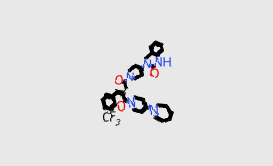 O=C(C[C@@H](Cc1cccc(C(F)(F)F)c1)C(=O)N1CCC(N2CCCCCC2)CC1)N1CCC(N2Cc3ccccc3NC2=O)CC1